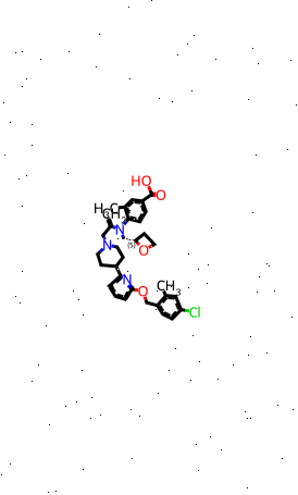 C=C(CN1CCC(c2cccc(OCc3ccc(Cl)cc3C)n2)CC1)N(C[C@@H]1CCO1)c1ccc(C(=O)O)cc1C